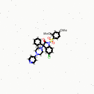 COc1ccc(S(=O)(=O)N2C(=O)C(c3ccccc3OC)(N3CCN(c4ccncc4)CC3)c3cc(Cl)ccc32)c(OC)c1